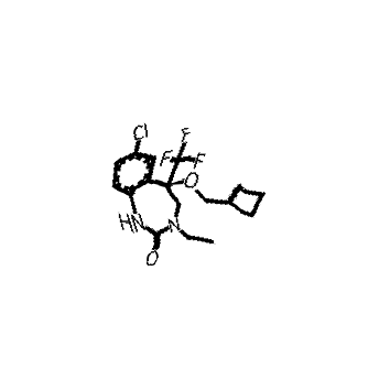 CCN1C[C@@](OCC2CCC2)(C(F)(F)F)c2cc(Cl)ccc2NC1=O